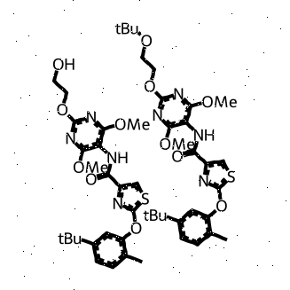 COc1nc(OCCO)nc(OC)c1NC(=O)c1csc(Oc2cc(C(C)(C)C)ccc2C)n1.COc1nc(OCCOC(C)(C)C)nc(OC)c1NC(=O)c1csc(Oc2cc(C(C)(C)C)ccc2C)n1